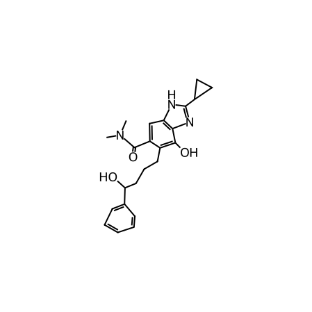 CN(C)C(=O)c1cc2[nH]c(C3CC3)nc2c(O)c1CCCC(O)c1ccccc1